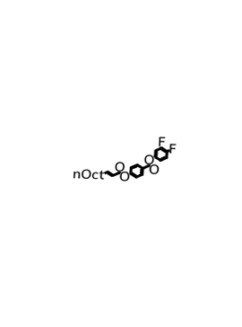 CCCCCCCCC=CC(=O)Oc1ccc(C(=O)Oc2ccc(F)c(F)c2)cc1